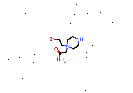 NC(=O)C[N+]1(CCBr)CCNCC1.[I-]